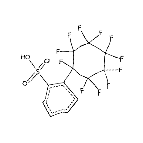 O=S(=O)(O)c1ccccc1C1(F)C(F)(F)C(F)(F)C(F)(F)C(F)(F)C1(F)F